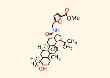 C=C(C)[C@@H]1CC[C@]2(C(=O)NCc3ccc(C(=O)OC)o3)CC[C@]3(C)C(CCC4[C@@]5(C)CC[C@H](O)C(C)(C)C5CC[C@]43C)C12